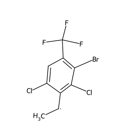 C[CH]c1c(Cl)cc(C(F)(F)F)c(Br)c1Cl